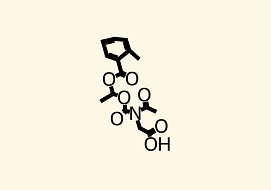 CC(=O)N(CC(=O)O)C(=O)OC(C)OC(=O)c1ccccc1C